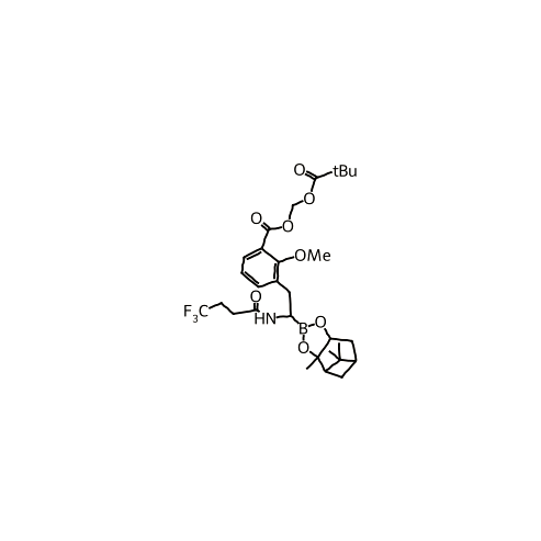 COc1c(CC(NC(=O)CCC(F)(F)F)B2OC3CC4CC(C4(C)C)C3(C)O2)cccc1C(=O)OCOC(=O)C(C)(C)C